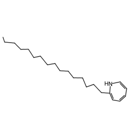 CCCCCCCCCCCCCCCCC1=CC=CC=CN1